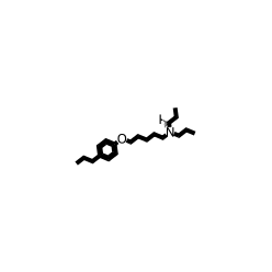 CCCc1ccc(OCCCCCN(CCC)[C@H](I)CC)cc1